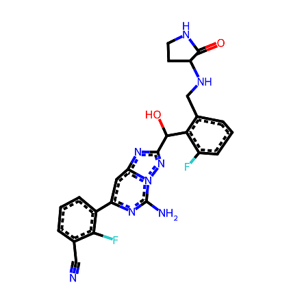 N#Cc1cccc(-c2cc3nc(C(O)c4c(F)cccc4CNC4CCNC4=O)nn3c(N)n2)c1F